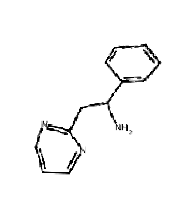 NC(Cc1ncccn1)c1ccccc1